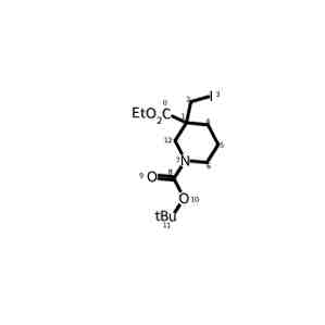 CCOC(=O)C1(CI)CCCN(C(=O)OC(C)(C)C)C1